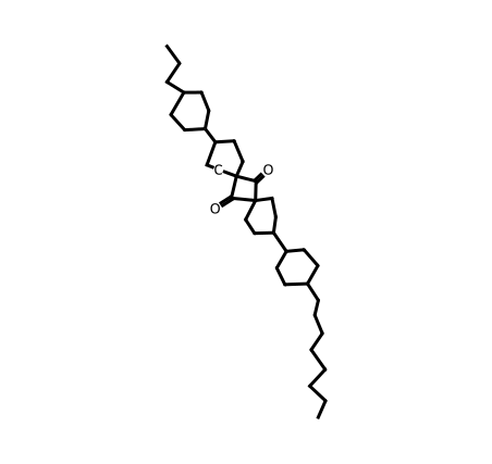 CCCCCCCCC1CCC(C2CCC3(CC2)C(=O)C2(CCC(C4CCC(CCC)CC4)CC2)C3=O)CC1